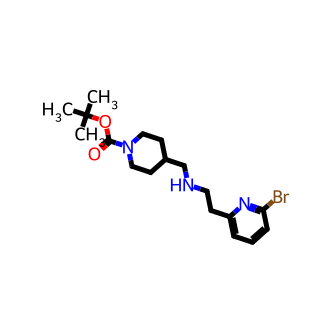 CC(C)(C)OC(=O)N1CCC(CNCCc2cccc(Br)n2)CC1